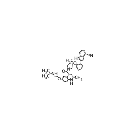 C=C1C[C@H](C(=O)N2CCC(C)(Oc3ccccc3-c3cc4c(C#N)cccc4[nH]3)CC2)c2cc(OCCNC(C)C)ccc2N1